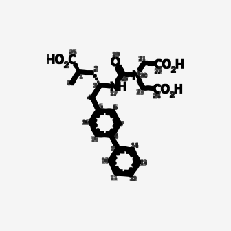 C[C@H](C[C@@H](Cc1ccc(-c2ccccc2)cc1)NC(=O)N(CC(=O)O)CC(=O)O)C(=O)O